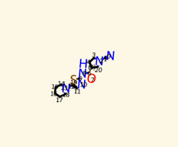 N#CN1CC[C@@H](C(=O)Nc2ncc(N3CCCCC3)s2)C1